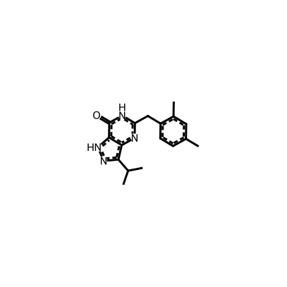 Cc1ccc(Cc2nc3c(C(C)C)n[nH]c3c(=O)[nH]2)c(C)c1